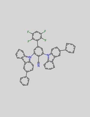 N#Cc1c(-n2c3ccccc3c3cc(-c4ccccc4)ccc32)cc(-c2c(F)c(F)cc(F)c2F)cc1-n1c2ccccc2c2cc(-c3ccccc3)ccc21